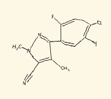 Cc1c(-c2cc(I)c(Cl)cc2F)nn(C)c1C#N